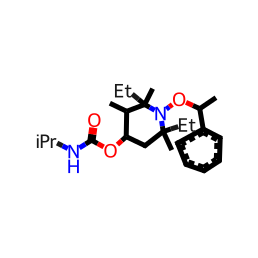 CCC1(C)CC(OC(=O)NC(C)C)C(C)C(C)(CC)N1OC(C)c1ccccc1